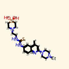 CCN1CCN(c2cc(C)c3cc(NC(=S)NCCN4CCS(O)(O)CC4)ccc3n2)CC1